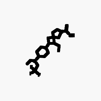 CCC1C(N2CCC(N(CC)CC(F)(F)F)CC2)CC12CCN(C(=O)O)C2